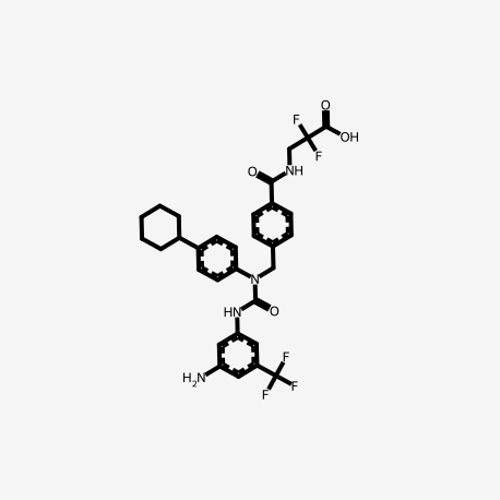 Nc1cc(NC(=O)N(Cc2ccc(C(=O)NCC(F)(F)C(=O)O)cc2)c2ccc(C3CCCCC3)cc2)cc(C(F)(F)F)c1